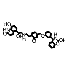 O=C(O)N[C@@H](c1ccccc1)c1cccc(OCc2ccc(CCNC[C@H](O)c3ccc(O)c4[nH]c(=O)ccc34)c(Cl)c2)c1